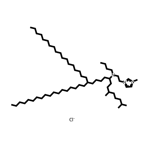 CCCCCCCCCCCCCCCCCCC(CCCCCCCCCCCCCCCCCC)CCCCC(CCC(C)CCCC(C)C)N(CCCC)CC[n+]1ccn(C)c1.[Cl-]